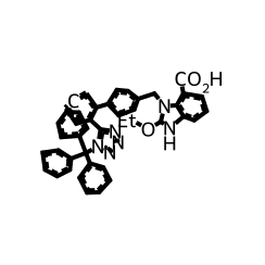 CCOC1Nc2cccc(C(=O)O)c2N1Cc1ccc(-c2ccccc2-c2nnnn2C(c2ccccc2)(c2ccccc2)c2ccccc2)cc1